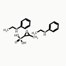 CC1OC1P(=O)(O)O.CCNc1ccccc1.CCNc1ccccc1